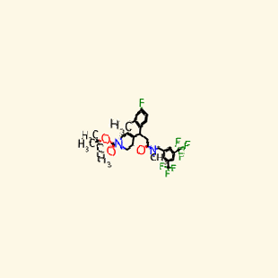 Cc1cc(F)ccc1C(CC(=O)N(C)Cc1cc(C(F)(F)F)cc(C(F)(F)F)c1)C1=CCN(C(=O)OC(C)(C)C)CC1